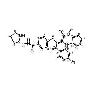 COC(=O)c1c(Cc2ccc(C(=O)NC[C@@H]3CCCN3)cc2)c(=O)c2ccc(Cl)cc2n1-c1ccccc1